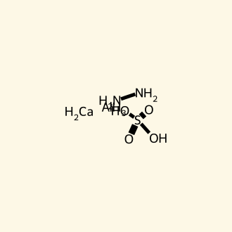 NN.O=S(=O)(O)O.[AlH3].[CaH2]